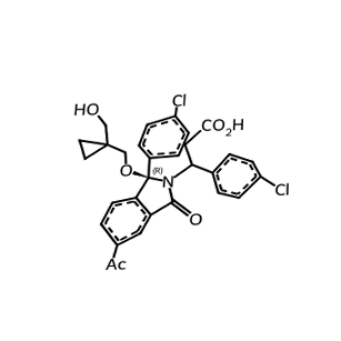 CC(=O)c1ccc2c(c1)C(=O)N(C(CC(=O)O)c1ccc(Cl)cc1)[C@@]2(OCC1(CO)CC1)c1ccc(Cl)cc1